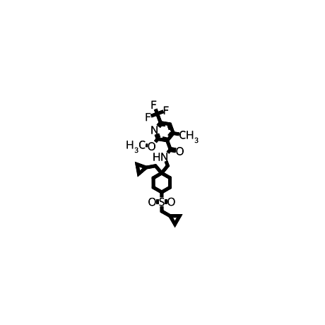 COc1nc(C(F)(F)F)cc(C)c1C(=O)NCC1(CC2CC2)CCC(S(=O)(=O)CC2CC2)CC1